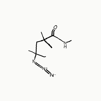 CNC(=O)C(C)(C)CC(C)(C)N=[N+]=[N-]